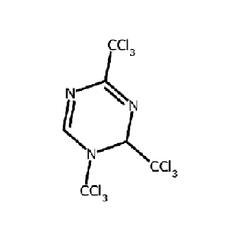 ClC(Cl)(Cl)C1=NC(C(Cl)(Cl)Cl)N(C(Cl)(Cl)Cl)C=N1